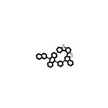 c1cc(-c2c3ccccc3c(-c3ccc4ccccc4c3)c3ccccc23)cc(-c2cc3c(sc4ccc5sc6ccccc6c5c43)c3ccccc23)c1